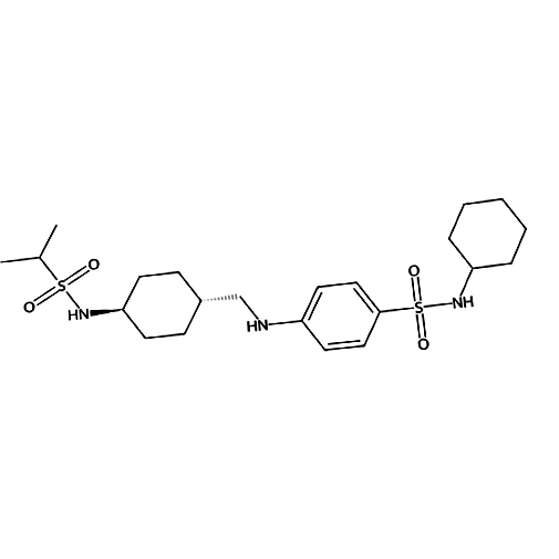 CC(C)S(=O)(=O)N[C@H]1CC[C@H](CNc2ccc(S(=O)(=O)NC3CCCCC3)cc2)CC1